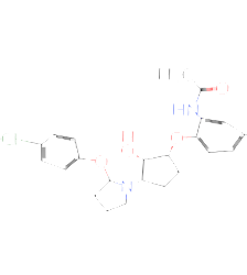 CC(=O)Nc1ccccc1O[C@H]1CC[C@H](N2CCCC2Oc2ccc(Cl)cc2)[C@H]1O